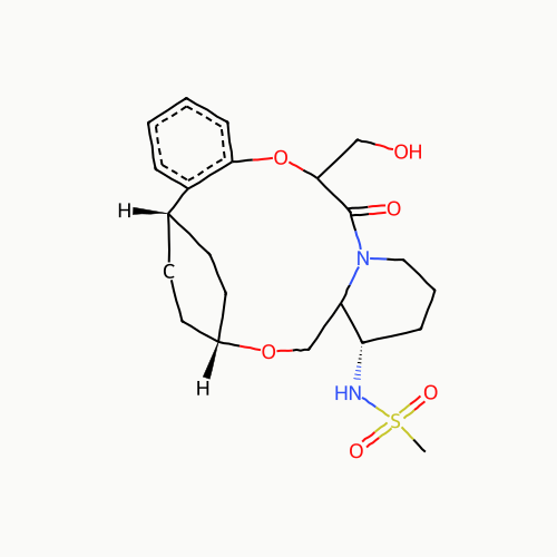 CS(=O)(=O)N[C@H]1CCCN2C(=O)C(CO)Oc3ccccc3[C@H]3CC[C@H](CC3)OCC12